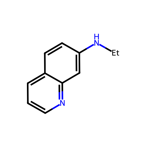 CCNc1ccc2cccnc2c1